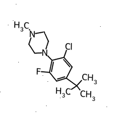 CN1CCN(c2c(F)cc(C(C)(C)C)cc2Cl)CC1